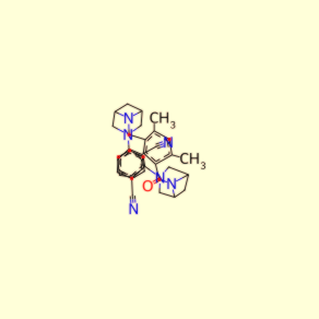 Cc1cc(C)c(C(=O)N2C3CC2CN(c2ccccc2C#N)C3)cc1CN1C2CC1CN(c1ccccc1C#N)C2